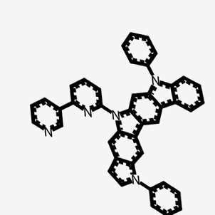 c1ccc(-n2ccc3cc4c(cc32)c2cc3c5ccccc5n(-c5ccccc5)c3cc2n4-c2cccc(-c3cccnc3)n2)cc1